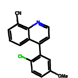 COc1ccc(Cl)c(-c2ccnc3c(C#N)cccc23)c1